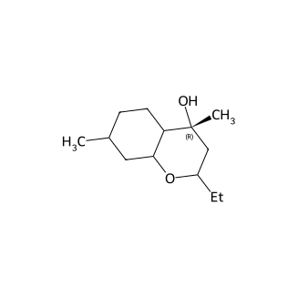 CCC1C[C@@](C)(O)C2CCC(C)CC2O1